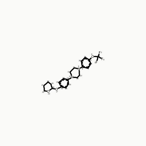 FC(F)(F)Oc1ccc(N2CCN(c3ccc(OC4CCCCO4)cc3)CC2)cc1